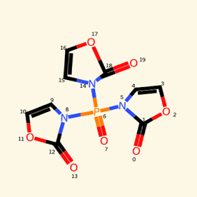 O=c1occn1P(=O)(n1ccoc1=O)n1ccoc1=O